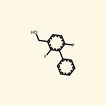 OCc1ccc(F)c(-c2ccccc2)c1F